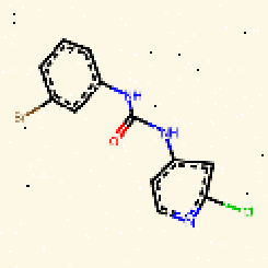 O=C(Nc1cccc(Br)c1)Nc1ccnc(Cl)c1